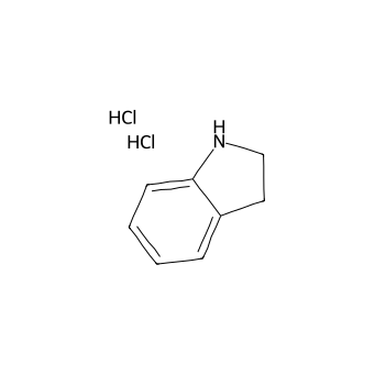 Cl.Cl.c1ccc2c(c1)CCN2